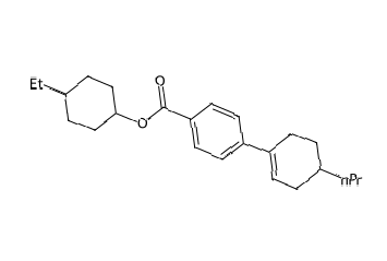 CCCC1CC=C(c2ccc(C(=O)OC3CCC(CC)CC3)cc2)CC1